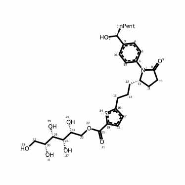 CCCCC[C@H](O)c1ccc(N2C(=O)CC[C@@H]2CCCc2ccc(C(=O)OC[C@@H](O)[C@H](O)[C@@H](O)[C@H](O)CO)s2)cc1